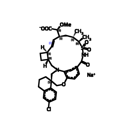 CO[C@H](C(=O)[O-])[C@@H]1/C=C/[C@@H]2CC[C@H]2CN2C[C@@]3(CCCc4cc(Cl)ccc43)COc3ccc(cc32)C(=O)NS(=O)(=O)[C@H](C)[C@@H](C)C1.[Na+]